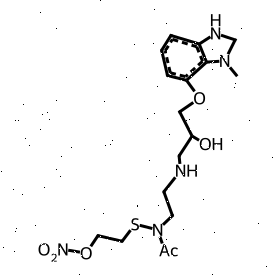 CC(=O)N(CCNCC(O)COc1cccc2c1N(C)CN2)SCCO[N+](=O)[O-]